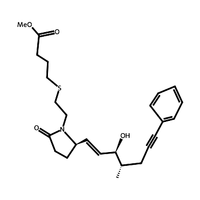 COC(=O)CCCSCCN1C(=O)CC[C@@H]1/C=C/[C@@H](O)[C@@H](C)CC#Cc1ccccc1